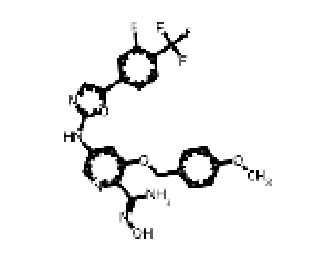 COc1ccc(COc2cc(Nc3ncc(-c4ccc(C(F)(F)F)c(F)c4)o3)cnc2/C(N)=N/O)cc1